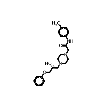 Cc1ccc(NC(=O)CN2CCN(C[C@@H](O)COc3ccccc3)CC2)cc1